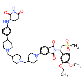 CCOc1cc([C@@H](CS(C)(=O)=O)N2C(=O)c3ccc(N4CCC(CN5CCC(CN6CCC(c7ccc(NC8CCC(=O)NC8=O)cc7)CC6)CC5)CC4)cc3C2=O)ccc1OC